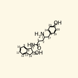 N[C@H](CCC(=O)N[C@@H]1c2ccccc2C[C@@H]1O)Cc1ccc(O)cc1